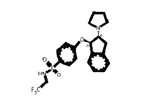 O=S(=O)(NCC(F)(F)F)c1ccc(O[C@@H]2c3ccccc3C[C@H]2N2CCCC2)cc1